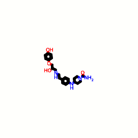 NC(=O)N1CCC(Nc2ccc(CCNC[C@H](O)COc3ccc(O)cc3)cc2)CC1